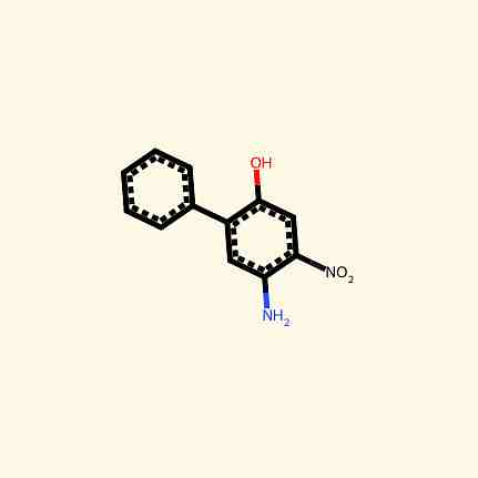 Nc1cc(-c2ccccc2)c(O)cc1[N+](=O)[O-]